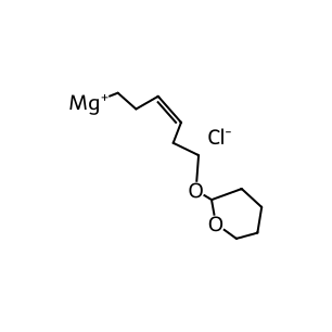 [Cl-].[Mg+][CH2]C/C=C\CCOC1CCCCO1